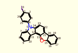 Ic1ccc(-n2c3ccccc3c3c4oc5ccccc5c4ccc32)cc1